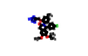 COc1cc2c(cc1OC(C)C)C(c1ccc(Cl)cc1)N(c1ccc(C)cc1OCc1nn[nH]n1)C(=O)C2